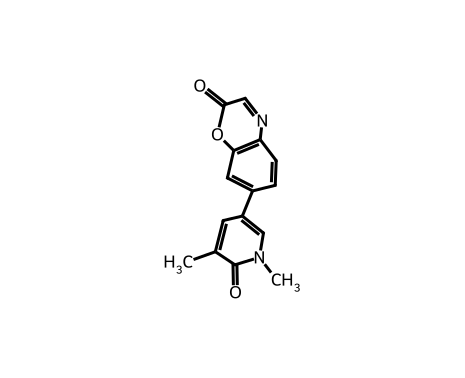 Cc1cc(-c2ccc3ncc(=O)oc3c2)cn(C)c1=O